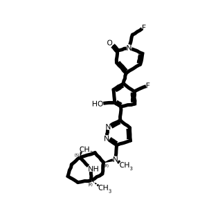 CN(c1ccc(-c2cc(F)c(-c3ccn(CF)c(=O)c3)cc2O)nn1)[C@@H]1C[C@]2(C)CCC[C@](C)(C1)N2